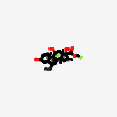 CC(=O)OC1=C[C@H]2[C@@H]3C[C@H](C)[C@](O)(C(=O)OCF)[C@@]3(C)C[C@H](O)[C@]2(F)[C@@]2(C)C=CC(=O)C=C12